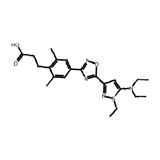 CCN(CC)c1cc(-c2nc(-c3cc(C)c(CCC(=O)O)c(C)c3)no2)nn1CC